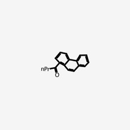 CCCC(=O)c1cccc2c1ccc1ccccc12